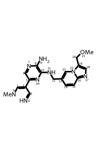 CN/C=C(\C=N)c1cnc(N)c(NCc2ccc3ncc(COC)n3c2)n1